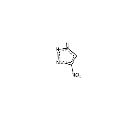 O=[N+]([O-])c1[c][nH]nn1